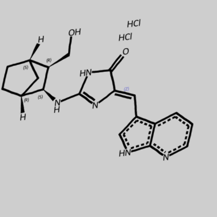 Cl.Cl.O=C1NC(N[C@H]2[C@@H]3CC[C@@H](C3)[C@H]2CO)=N/C1=C\c1c[nH]c2ncccc12